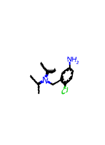 CC(C)N(Cc1cc(N)ccc1Cl)C(C)C